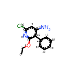 CCOc1nc(Cl)cc(N)c1-c1ccccc1